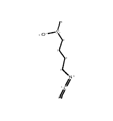 C=C=NCCCC[S+](C)[O-]